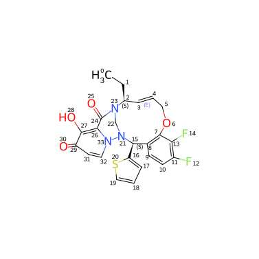 CC[C@H]1/C=C/COc2c(ccc(F)c2F)[C@@H](c2cccs2)N2CN1C(=O)c1c(O)c(=O)ccn12